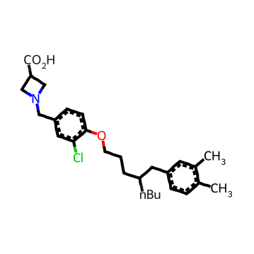 CCCCC(CCCOc1ccc(CN2CC(C(=O)O)C2)cc1Cl)Cc1ccc(C)c(C)c1